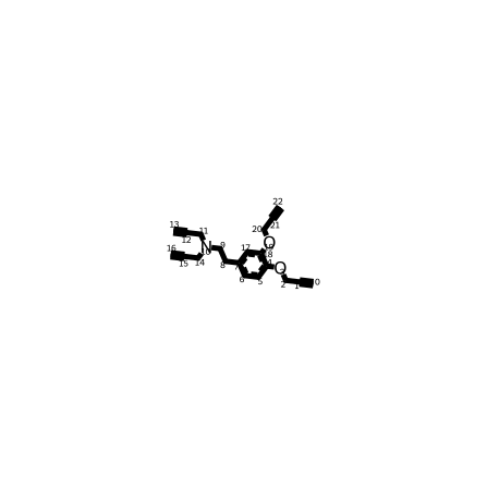 C#CCOc1ccc(CCN(CC#C)CC#C)cc1OCC#C